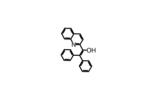 OC(=C(c1ccccc1)c1ccccc1)c1ccc2ccccc2n1